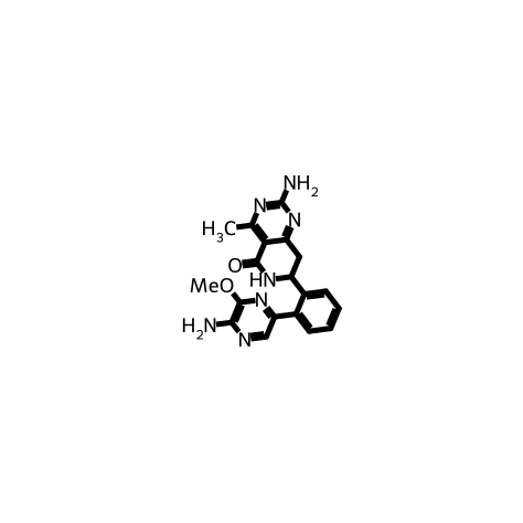 COc1nc(-c2ccccc2C2Cc3nc(N)nc(C)c3C(=O)N2)cnc1N